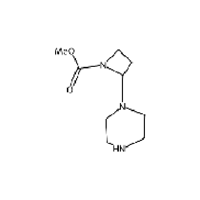 COC(=O)N1CCC1N1CCNCC1